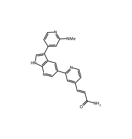 CNc1cc(-c2c[nH]c3ncc(-c4cc(/C=C/C(N)=O)ccn4)cc23)ccn1